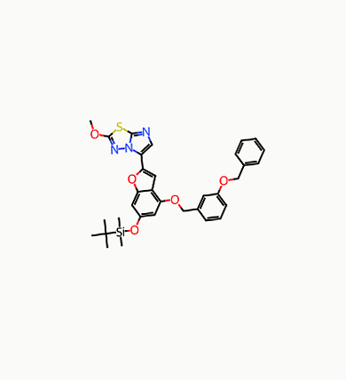 COc1nn2c(-c3cc4c(OCc5cccc(OCc6ccccc6)c5)cc(O[Si](C)(C)C(C)(C)C)cc4o3)cnc2s1